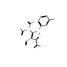 CC(=O)N(C(C)=O)c1c(C=O)c(C(=O)O)nn1-c1cccc(Br)c1